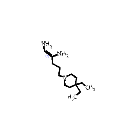 CCC1(CC)CCN(CCC/C(N)=C/N)CC1